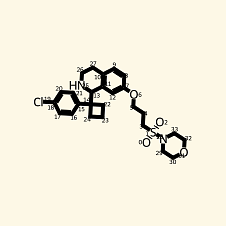 O=S(=O)(CCCOc1ccc2c(c1)C(C1(c3ccc(Cl)cc3)CCC1)NCC2)N1CCOCC1